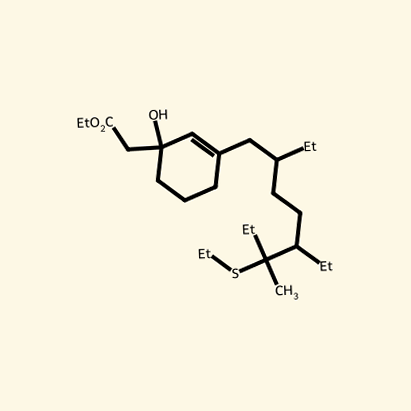 CCOC(=O)CC1(O)C=C(CC(CC)CCC(CC)C(C)(CC)SCC)CCC1